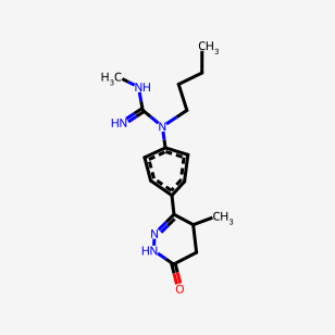 CCCCN(C(=N)NC)c1ccc(C2=NNC(=O)CC2C)cc1